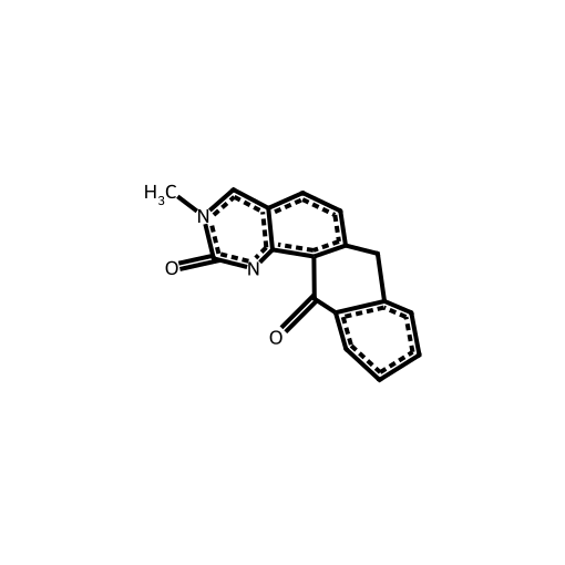 Cn1cc2ccc3c(c2nc1=O)C(=O)c1ccccc1C3